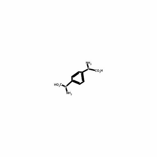 NN(C(=O)O)c1ccc(N(N)C(=O)O)cc1